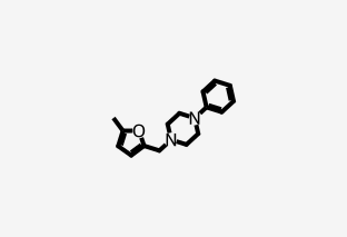 Cc1ccc(CN2CCN(c3ccccc3)CC2)o1